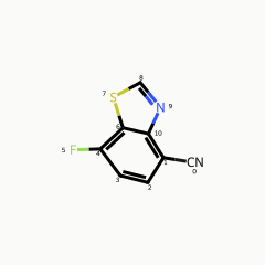 N#Cc1ccc(F)c2scnc12